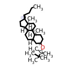 CCC/C=C1/CC[C@H]2[C@@H]3CC[C@H]4C[C@H](O[Si](C)(C)C(C)(C)C)CC[C@]4(C)[C@H]3CC[C@]12C